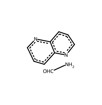 NC=O.c1cnc2cccnc2c1